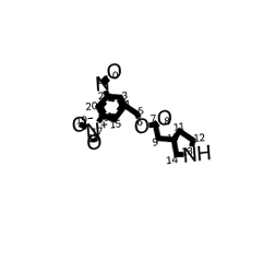 O=Nc1cc(COC(=O)CC2CCNC2)cc([N+](=O)[O-])c1